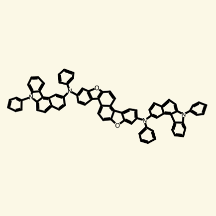 c1ccc(N(c2ccc3c(c2)oc2ccc4c(ccc5oc6cc(N(c7ccccc7)c7ccc8ccc9c(c8c7)c7ccccc7n9-c7ccccc7)ccc6c54)c23)c2ccc3ccc4c(c3c2)c2ccccc2n4-c2ccccc2)cc1